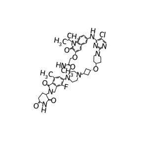 CNC(=O)COc1cc2cc(Nc3nc(N4CCC(O[C@H]5C[C@H](N6CCN(c7cc(C)c8c(c7F)CN(C7CCC(=O)NC7=O)C8=O)CC6)C5)CC4)ncc3Cl)ccc2n(C(C)C)c1=O